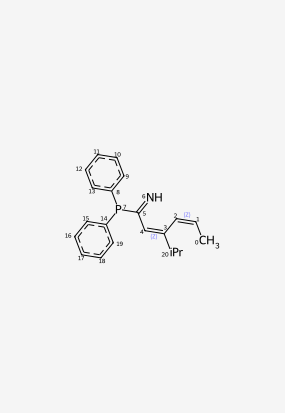 C/C=C\C(=C/C(=N)P(c1ccccc1)c1ccccc1)C(C)C